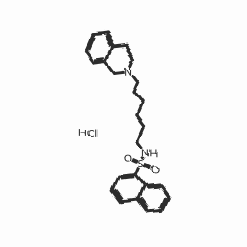 Cl.O=S(=O)(NCCCCCCN1CCc2ccccc2C1)c1cccc2ccccc12